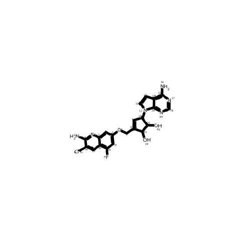 Nc1nc2cc(OCC3=CC(n4ccc5c(N)ncnc54)C(O)C3O)cc(F)c2cc1Cl